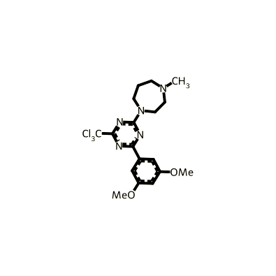 COc1cc(OC)cc(-c2nc(N3CCCN(C)CC3)nc(C(Cl)(Cl)Cl)n2)c1